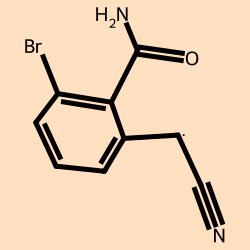 N#C[CH]c1cccc(Br)c1C(N)=O